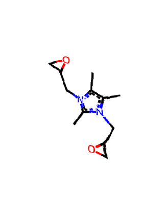 Cc1c(C)[n+](CC2CO2)c(C)n1CC1CO1